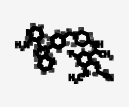 C=Nc1cc(F)cc(C(=C)NC2CCN(Cc3ccc(-n4c(-c5cccnc5N)nc5cccnc54)cc3)CC2)c1SCC#N